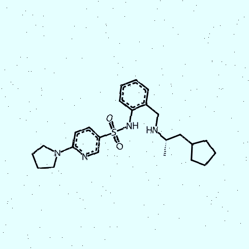 C[C@@H](CC1CCCC1)NCc1ccccc1NS(=O)(=O)c1ccc(N2CCCC2)nc1